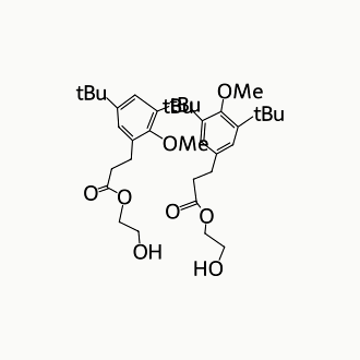 COc1c(C(C)(C)C)cc(CCC(=O)OCCO)cc1C(C)(C)C.COc1c(CCC(=O)OCCO)cc(C(C)(C)C)cc1C(C)(C)C